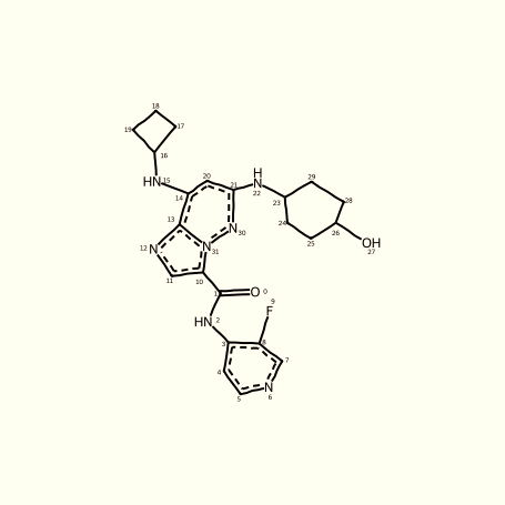 O=C(Nc1ccncc1F)c1cnc2c(NC3CCC3)cc(NC3CCC(O)CC3)nn12